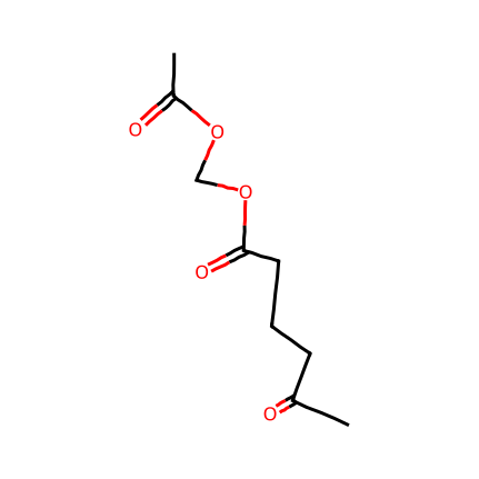 CC(=O)CCCC(=O)OCOC(C)=O